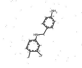 Cc1ccc(NCc2ccc(N)cc2)cc1F